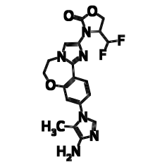 Cc1c(N)ncn1-c1ccc2c(c1)OCCn1cc(N3C(=O)OCC3C(F)F)nc1-2